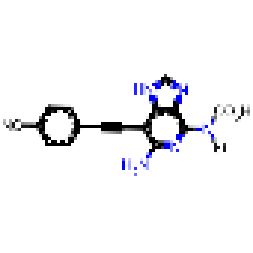 CCN(C(=O)O)c1nc(N)c(C#Cc2ccc(C#N)cc2)c2[nH]cnc12